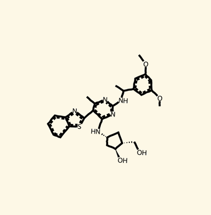 COc1cc(OC)cc(C(C)Nc2nc(C)c(-c3nc4ccccc4s3)c(N[C@@H]3C[C@H](CO)[C@@H](O)C3)n2)c1